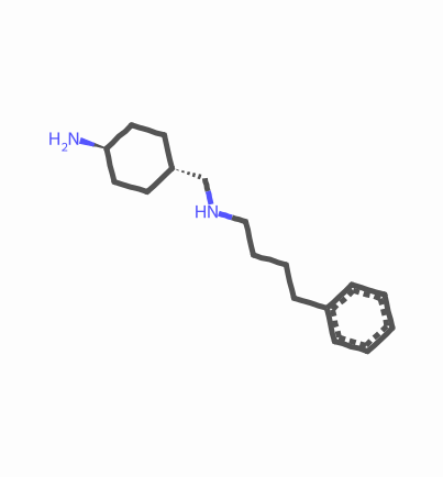 N[C@H]1CC[C@H](CNCCCCc2ccccc2)CC1